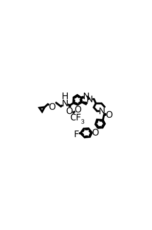 O=C(NCCOCC1CC1)c1ccc2nn(CC3CCN(C(=O)c4ccc(Oc5ccc(F)cc5)cc4)CC3)cc2c1OCC(F)(F)F